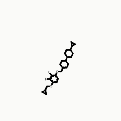 Fc1c(OCC2=CCC(C3CCC(C4CC4)CC3)CC2)ccc(OCC2CC2)c1F